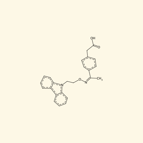 CC(=NOCCn1c2ccccc2c2ccccc21)c1ccc(CC(=O)O)cc1